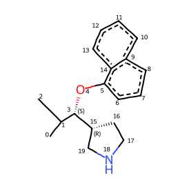 CC(C)[C@H](Oc1cccc2ccccc12)[C@@H]1CCNC1